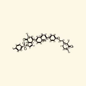 Cc1ccc(S(=O)(=O)n2ccc3c(-c4ccc5nc(-c6ccc(OCCN7CCN(C)C(=O)[C@@H]7C)cc6)ccc5c4)cn(C)c(=O)c32)cc1